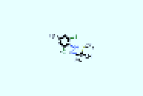 N#CC(=NNc1c(Cl)cc(C(F)(F)F)cc1Cl)C(C#N)SC(F)(F)F